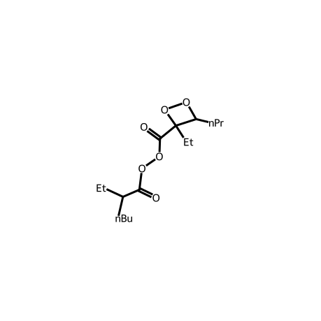 CCCCC(CC)C(=O)OOC(=O)C1(CC)OOC1CCC